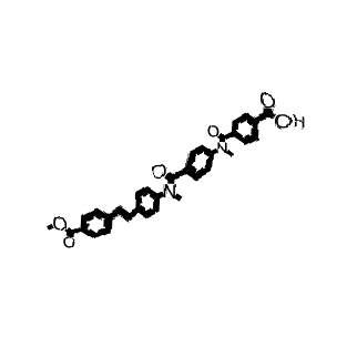 COC(=O)c1ccc(C=Cc2ccc(N(C)C(=O)c3ccc(N(C)C(=O)c4ccc(C(=O)O)cc4)cc3)cc2)cc1